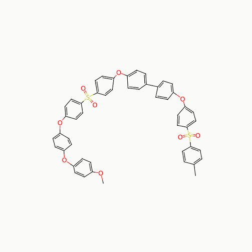 COc1ccc(Oc2ccc(Oc3ccc(S(=O)(=O)c4ccc(Oc5ccc(-c6ccc(Oc7ccc(S(=O)(=O)c8ccc(C)cc8)cc7)cc6)cc5)cc4)cc3)cc2)cc1